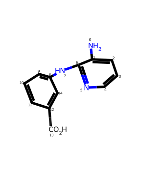 Nc1cccnc1Nc1cccc(C(=O)O)c1